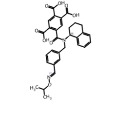 CC(C)O/N=C/c1cccc(CN(C(=O)c2cc(C(=O)O)c(C(=O)O)cc2C(=O)O)[C@H]2CCCc3ccccc32)c1